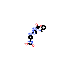 COc1cc(OC)nc(-c2ccc(Nc3nccc(Nc4c(NC(C)C5CCCCC5)c(=O)c4=O)n3)cc2)n1